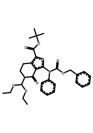 CCOC(OCC)C1CCc2c(C(=O)OC(C)(C)C)sc(N(C(=O)OCc3ccccc3)c3ccccc3)c2C1=O